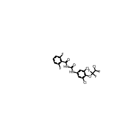 O=C(NC(=O)c1c(F)cccc1F)Nc1cc(Cl)c(OC(F)(F)C(F)Cl)c(Cl)c1